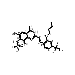 CCCCOc1cc(C(F)(F)F)ccc1C=CC(=O)NC(C)c1cc(F)c(NS(C)(=O)=O)c(F)c1